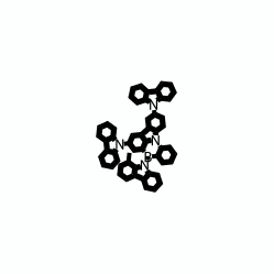 Cc1cccc2c3ccccc3n(B3c4ccccc4-n4c5ccc(-n6c7ccccc7c7ccccc76)cc5c5cc(-n6c7ccccc7c7ccccc76)cc3c54)c12